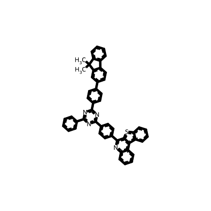 CC1(C)c2ccccc2-c2ccc(-c3ccc(-c4nc(-c5ccccc5)nc(-c5ccc(-c6nc7ccccc7c7c6sc6ccccc67)cc5)n4)cc3)cc21